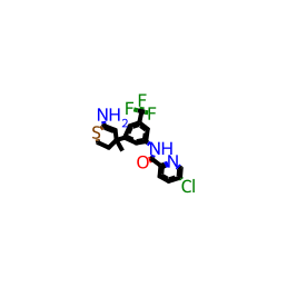 CC1(c2cc(NC(=O)c3ccc(Cl)cn3)cc(C(F)(F)F)c2)C=C(N)SCC1